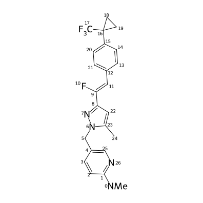 CNc1ccc(Cn2nc(C(F)=Cc3ccc(C4(C(F)(F)F)CC4)cc3)cc2C)cn1